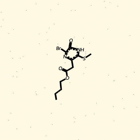 CCCCOC(=O)Cc1nc(Br)c(=O)[nH]c1SC